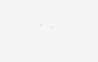 O=C(O)C(O)C(Cc1ccccc1)C(=O)O